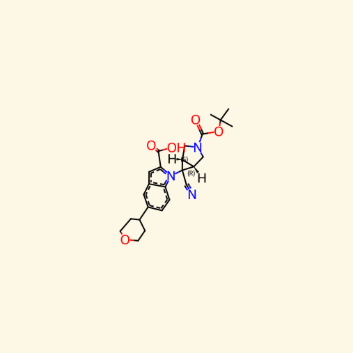 CC(C)(C)OC(=O)N1C[C@@H]2[C@H](C1)C2(C#N)n1c(C(=O)O)cc2cc(C3CCOCC3)ccc21